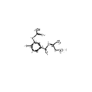 CC(C)(C)C(=O)Oc1cc(C(=O)OC(CS(=O)(=O)O)C(F)(F)F)ccc1I